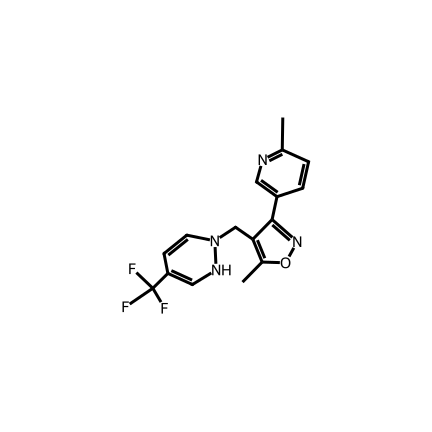 Cc1ccc(-c2noc(C)c2CN2C=CC(C(F)(F)F)=CN2)cn1